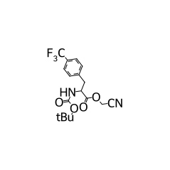 CC(C)(C)OC(=O)NC(Cc1ccc(C(F)(F)F)cc1)C(=O)OCC#N